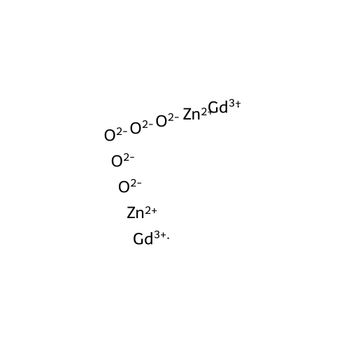 [Gd+3].[Gd+3].[O-2].[O-2].[O-2].[O-2].[O-2].[Zn+2].[Zn+2]